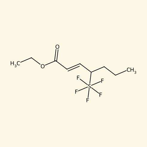 CCCC(C=CC(=O)OCC)S(F)(F)(F)(F)F